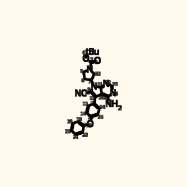 CC(C)(C)OC(=O)N1CCC(n2c(C#N)c(-c3ccc(Oc4ccccc4)cc3)c3c(N)ncnc32)C1